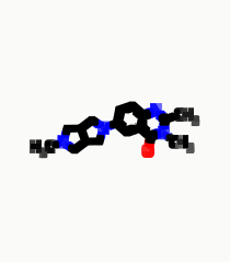 Cc1nc2ccc(N3CC4CN(C)CC4C3)cc2c(=O)n1C